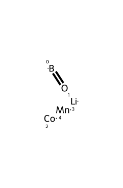 [B]=O.[Co].[Li].[Mn]